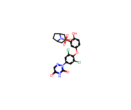 O=c1cnn(-c2cc(Cl)c(Oc3ccc(O)c(S(=O)(=O)N4C5CCC4CC(O)C5)c3)c(Cl)c2)c(=O)[nH]1